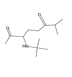 CC(=O)C(CCC(=O)C(C)C)NC(C)(C)C